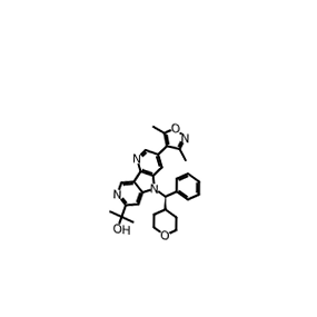 Cc1noc(C)c1-c1cnc2c3cnc(C(C)(C)O)cc3n([C@@H](c3ccccc3)C3CCOCC3)c2c1